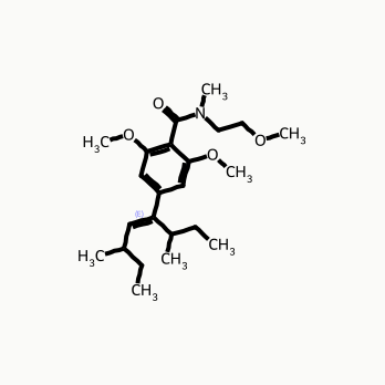 CCC(C)/C=C(/c1cc(OC)c(C(=O)N(C)CCOC)c(OC)c1)C(C)CC